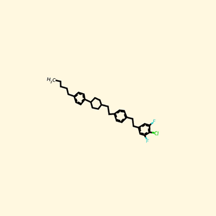 CCCCCc1ccc(C2CCC(CCc3ccc(CCc4cc(F)c(Cl)c(F)c4)cc3)CC2)cc1